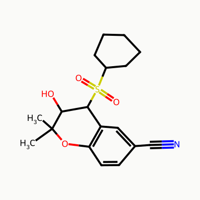 CC1(C)Oc2ccc(C#N)cc2C(S(=O)(=O)C2CCCCC2)C1O